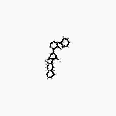 Clc1cc(-c2cccc3c2oc2ccccc23)cc2oc3cc4ccccc4cc3c12